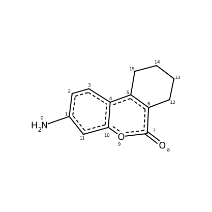 Nc1ccc2c3c(c(=O)oc2c1)CCCC3